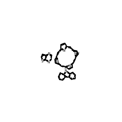 C1=Cc2cc3ccc(cc4nc(cc5ccc(cc1n2)[nH]5)C=C4)[nH]3.c1ccc2c(c1)[nH]c1ccccc12.c1cnc2sccc2n1